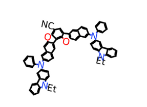 CCn1c2ccccc2c2cc(N(c3ccccc3)c3ccc4cc5c(cc4c3)oc3c5cc(C#N)c4oc5cc6cc(N(c7ccccc7)c7ccc8c(c7)c7ccccc7n8CC)ccc6cc5c43)ccc21